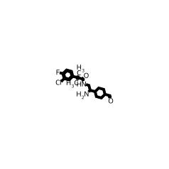 CC(C)(C(=O)NCC(N)C1CCC(C=O)CC1)c1ccc(F)c(Cl)c1